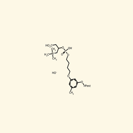 CCCCCOc1cc(C)cc(OCCCCOP(=O)(O)OC(CC(=O)O)C[N+](C)(C)C)c1.[OH-]